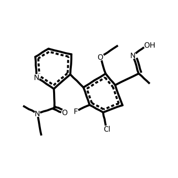 COc1c(C(C)=NO)cc(Cl)c(F)c1-c1cccnc1C(=O)N(C)C